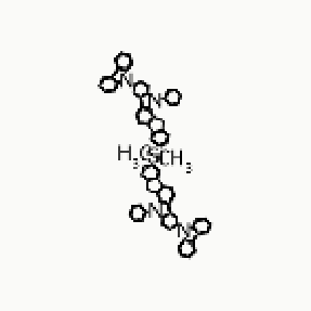 C[Si](C)(c1ccc2c(c1)-c1ccc3c4cc(-n5c6ccccc6c6ccccc65)ccc4n(-c4ccccc4)c3c1C2)c1ccc2c(c1)-c1ccc3c4cc(-n5c6ccccc6c6ccccc65)ccc4n(-c4ccccc4)c3c1C2